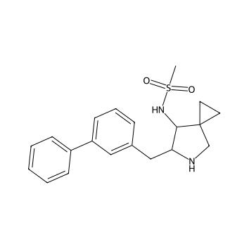 CS(=O)(=O)NC1C(Cc2cccc(-c3ccccc3)c2)NCC12CC2